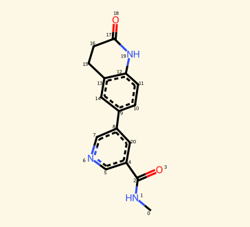 CNC(=O)c1cncc(-c2ccc3c(c2)CCC(=O)N3)c1